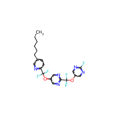 CCCCCCc1ccc(C(F)(F)Oc2cnc(C(F)(F)Oc3cnc(F)nc3)nc2)nc1